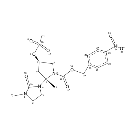 CN1CCN([C@]2(C)C[C@@H](OS(C)(=O)=O)CN2C(=O)OCc2ccc([N+](=O)[O-])cc2)C1=O